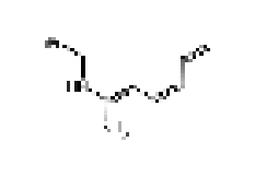 C=C/C=C\C=C(/N)NCC(C)C